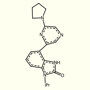 CC(C)n1c(=O)[nH]c2c(-c3cncc(N4CCCC4)n3)cccc21